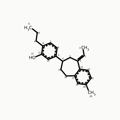 CC=C1CC(c2ccc(CCC)c(O)c2)CCc2cc(C)ccc21